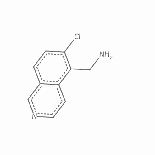 NCc1c(Cl)ccc2cnccc12